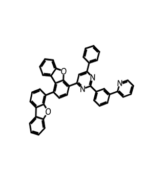 c1ccc(-c2cc(-c3ccc(-c4cccc5c4oc4ccccc45)c4c3oc3ccccc34)nc(-c3cccc(-c4ccccn4)c3)n2)cc1